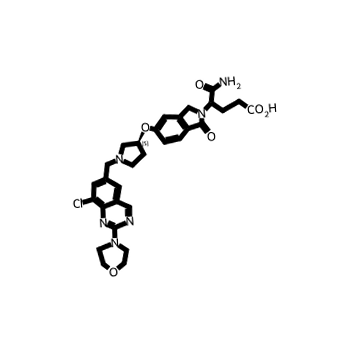 NC(=O)C(CCC(=O)O)N1Cc2cc(O[C@H]3CCN(Cc4cc(Cl)c5nc(N6CCOCC6)ncc5c4)C3)ccc2C1=O